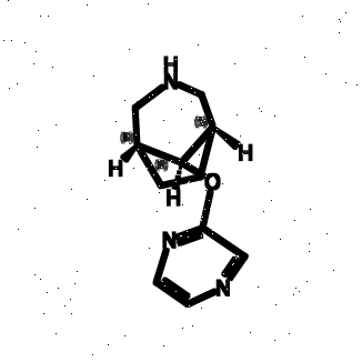 c1cnc(O[C@H]2[C@@H]3CC[C@H]2CNC3)cn1